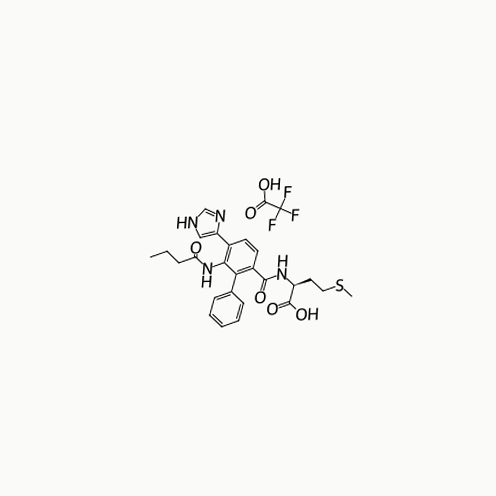 CCCC(=O)Nc1c(-c2c[nH]cn2)ccc(C(=O)N[C@@H](CCSC)C(=O)O)c1-c1ccccc1.O=C(O)C(F)(F)F